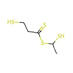 CC(S)SC(=S)CCS